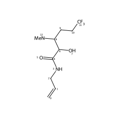 C=CCNC(=O)C(O)C(CCC(F)(F)F)NC